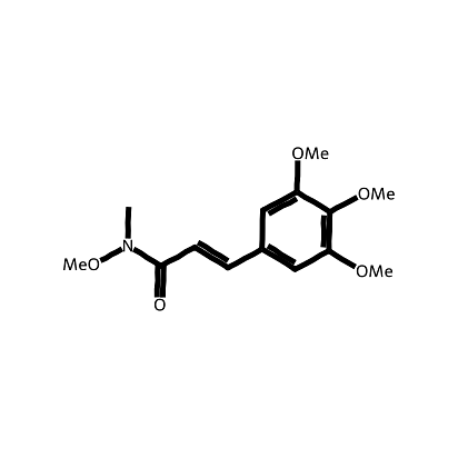 COc1cc(C=CC(=O)N(C)OC)cc(OC)c1OC